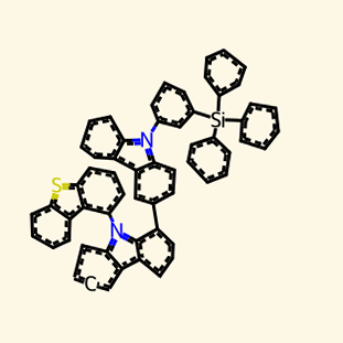 c1ccc([Si](c2ccccc2)(c2ccccc2)c2cccc(-n3c4ccccc4c4cc(-c5cccc6c7ccccc7n(-c7cccc8sc9ccccc9c78)c56)ccc43)c2)cc1